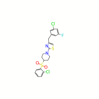 O=S(=O)(c1ccccc1Cl)C1CCN(c2nc(Cc3cc(F)cc(Cl)c3)cs2)CC1